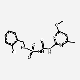 COc1cc(C)nc(NC(=O)NS(=O)(=O)NCc2ccccc2Cl)n1